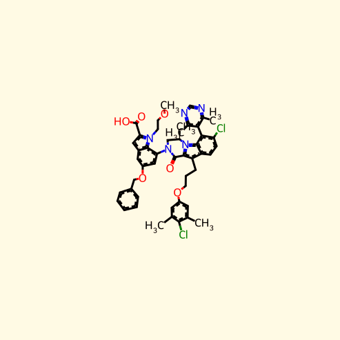 COCCn1c(C(=O)O)cc2cc(OCc3ccccc3)cc(N3C[C@@H](C)n4c(c(CCCOc5cc(C)c(Cl)c(C)c5)c5ccc(Cl)c(-c6c(C)ncnc6C)c54)C3=O)c21